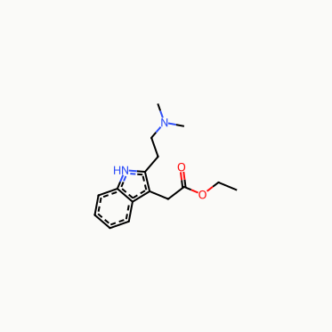 CCOC(=O)Cc1c(CCN(C)C)[nH]c2ccccc12